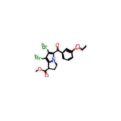 CCOc1cccc(C(=O)c2c(Br)c(Br)c3n2CCC3C(=O)OC)c1